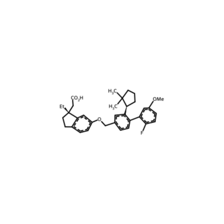 CC[C@]1(CC(=O)O)CCc2ccc(OCc3ccc(-c4cc(OC)ccc4F)c([C@@H]4CCCC4(C)C)c3)cc21